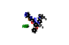 CN(C)C[C@H]1CCCN(c2c(NC(=O)Cc3csc(-c4ccnnc4)n3)ccc(Oc3ccccc3)c2C(F)(F)F)C1.Cl.Cl